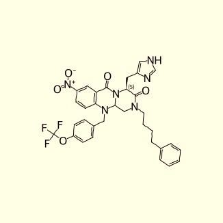 O=C1[C@H](Cc2c[nH]cn2)N2C(=O)c3cc([N+](=O)[O-])ccc3N(Cc3ccc(OC(F)(F)F)cc3)C2CN1CCCCc1ccccc1